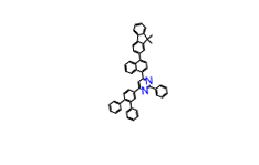 CC1(C)c2ccccc2-c2ccc(-c3ccc(-c4cc(-c5ccc(-c6ccccc6)c(-c6ccccc6)c5)nc(-c5ccccc5)n4)c4ccccc34)cc21